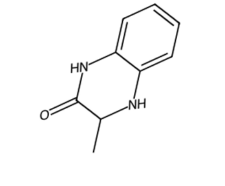 CC1Nc2ccccc2NC1=O